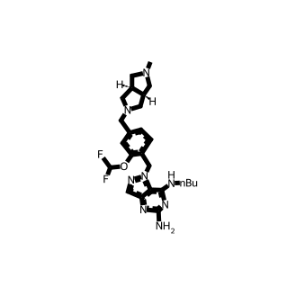 CCCCNc1nc(N)nc2cnn(Cc3ccc(CN4C[C@H]5CN(C)C[C@H]5C4)cc3OC(F)F)c12